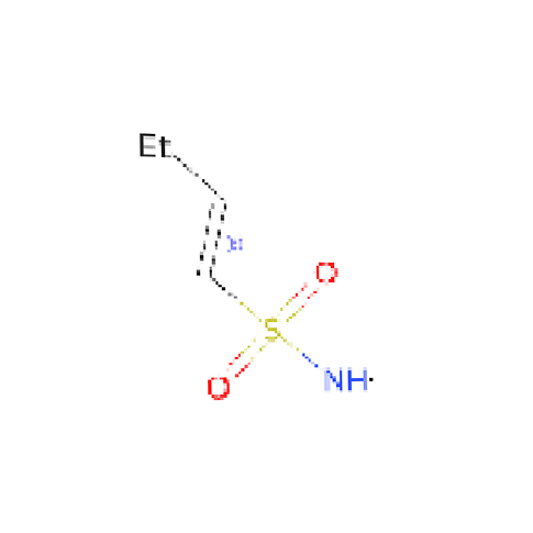 CC/C=C/S([NH])(=O)=O